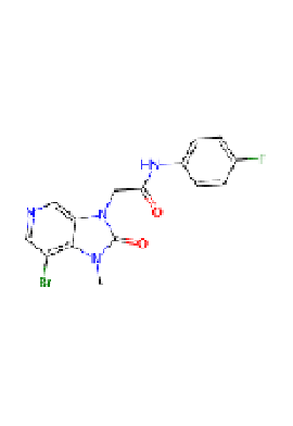 Cn1c(=O)n(CC(=O)Nc2ccc(F)cc2)c2cncc(Br)c21